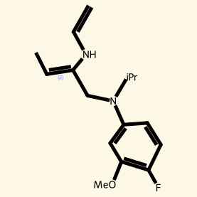 C=CN/C(=C\C)CN(c1ccc(F)c(OC)c1)C(C)C